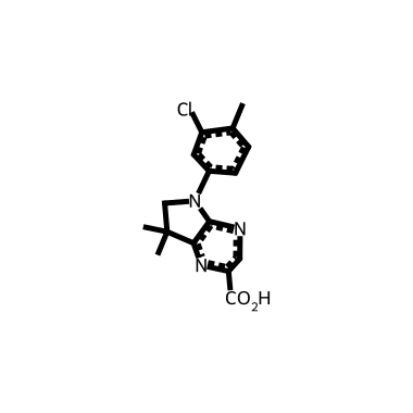 Cc1ccc(N2CC(C)(C)c3nc(C(=O)O)cnc32)cc1Cl